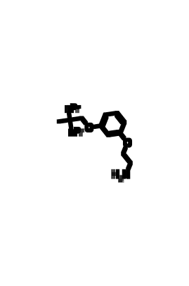 CCCC(C)(CCC)COc1cccc(OCCN)c1